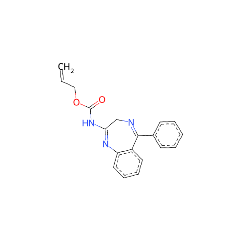 C=CCOC(=O)NC1=Nc2ccccc2C(c2ccccc2)=NC1